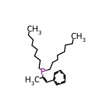 CCCCCCCCP(CCCCCCCC)C(C)=Cc1ccccc1